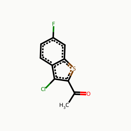 CC(=O)c1sc2cc(F)ccc2c1Cl